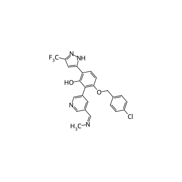 C/N=C\c1cncc(-c2c(OCc3ccc(Cl)cc3)ccc(-c3cc(C(F)(F)F)n[nH]3)c2O)c1